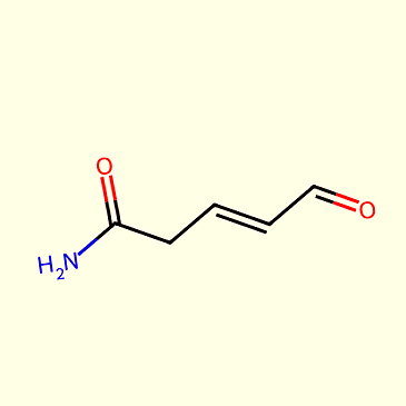 NC(=O)CC=CC=O